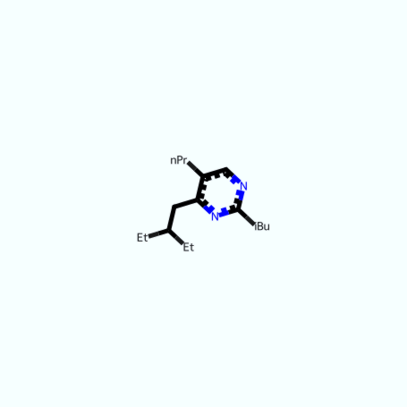 CCCc1cnc(C(C)CC)nc1CC(CC)CC